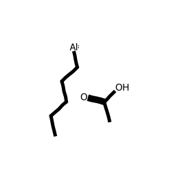 CC(=O)O.CCCC[CH2][Al]